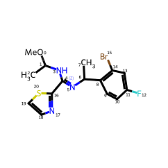 COC(C)N/C(=N\C(C)c1ccc(F)cc1Br)c1nccs1